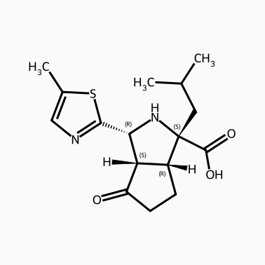 Cc1cnc([C@@H]2N[C@](CC(C)C)(C(=O)O)[C@@H]3CCC(=O)[C@@H]32)s1